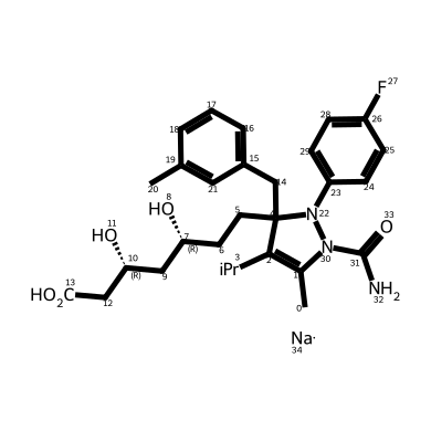 CC1=C(C(C)C)C(CC[C@@H](O)C[C@@H](O)CC(=O)O)(Cc2cccc(C)c2)N(c2ccc(F)cc2)N1C(N)=O.[Na]